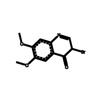 COc1cc2c(cc1OC)C(=O)C(Br)C=N2